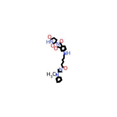 CN(c1ccccc1)C1CN(C(=O)CCCCCNc2ccc3c(c2)C(=O)N(C2CCC(=O)NC2=O)C3=O)C1